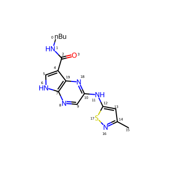 CCCCNC(=O)c1c[nH]c2ncc(Nc3cc(C)ns3)nc12